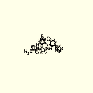 COc1ccc(-n2cnnn2)cc1CN[C@H]1CC[C@H](NC(=O)N(C)C)[C@H]1c1ccc(F)cc1